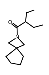 CCC(CC)C(=O)N1CC2(CCCC2)C1